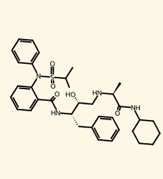 CC(C)S(=O)(=O)N(c1ccccc1)c1ccccc1C(=O)N[C@@H](Cc1ccccc1)[C@H](O)CN[C@@H](C)C(=O)NC1CCCCC1